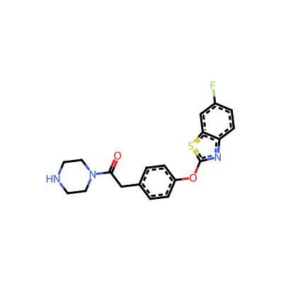 O=C(Cc1ccc(Oc2nc3ccc(F)cc3s2)cc1)N1CCNCC1